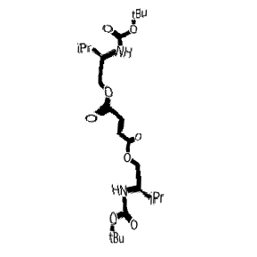 CC(C)[C@H](COC(=O)/C=C/C(=O)OC[C@H](NC(=O)OC(C)(C)C)C(C)C)NC(=O)OC(C)(C)C